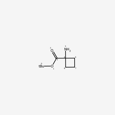 CC(C)(C)OC(=O)C1(N)CCC1